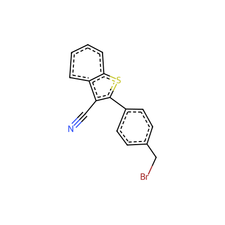 N#Cc1c(-c2ccc(CBr)cc2)sc2ccccc12